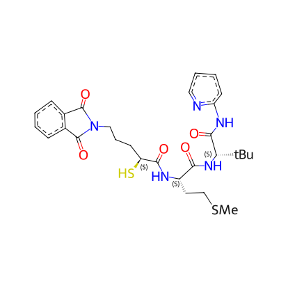 CSCC[C@H](NC(=O)[C@@H](S)CCCN1C(=O)c2ccccc2C1=O)C(=O)N[C@H](C(=O)Nc1ccccn1)C(C)(C)C